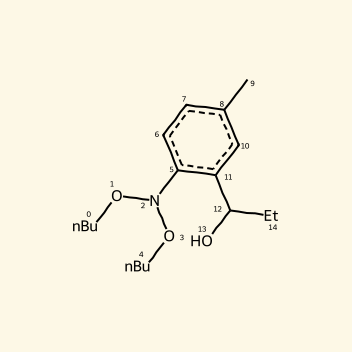 CCCCON(OCCCC)c1ccc(C)cc1C(O)CC